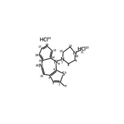 Cc1cc2c(s1)N(N1CCN(C)CC1)c1ccccc1N=C2.Cl.Cl